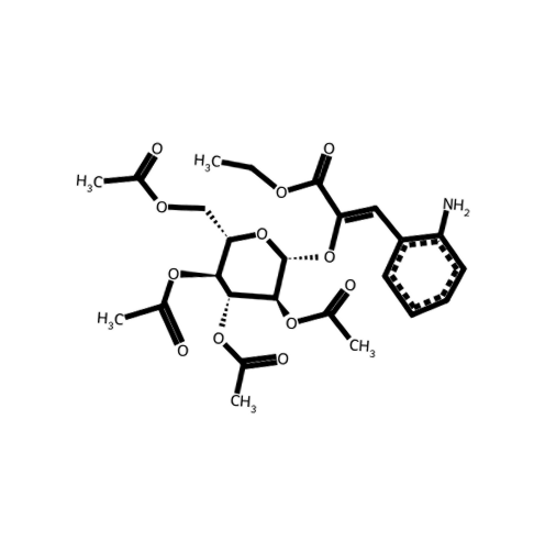 CCOC(=O)/C(=C/c1ccccc1N)O[C@H]1O[C@@H](COC(C)=O)[C@H](OC(C)=O)[C@@H](OC(C)=O)[C@@H]1OC(C)=O